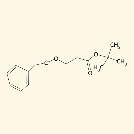 CC(C)(C)OC(=O)CCOCCc1ccccc1